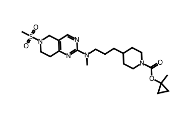 CN(CCCC1CCN(C(=O)OC2(C)CC2)CC1)c1ncc2c(n1)CCN(S(C)(=O)=O)C2